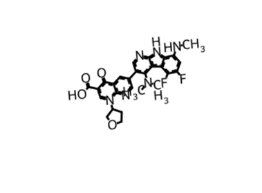 CNc1cc(F)c(F)c2c1[nH]c1ncc(-c3cnc4c(c3)c(=O)c(C(=O)O)cn4C3CCOC3)c(N(C)C)c12